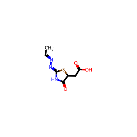 [CH2]C=NN=C1NC(=O)C(CC(=O)O)S1